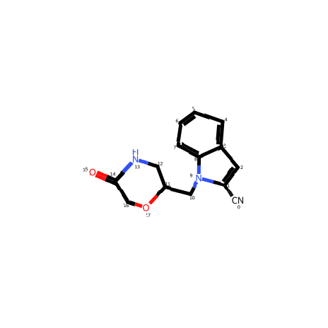 N#Cc1cc2ccccc2n1CC1CNC(=O)CO1